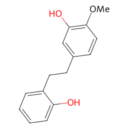 COc1ccc(CCc2ccccc2O)cc1O